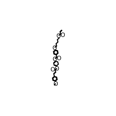 C=CC(=O)OCCCCCOc1ccc(C(=O)OC2=CC=C(OC(=O)/C=C/c3ccc(OC)cc3)CC2)cc1